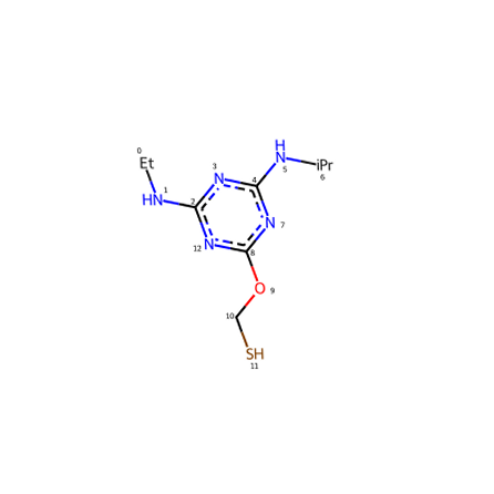 CCNc1nc(NC(C)C)nc(OCS)n1